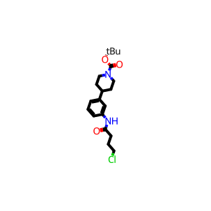 CC(C)(C)OC(=O)N1CCC(c2cccc(NC(=O)CCCCl)c2)CC1